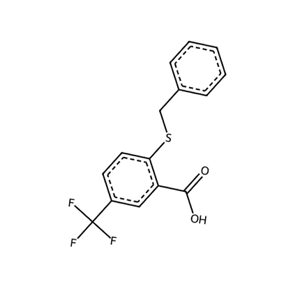 O=C(O)c1cc(C(F)(F)F)ccc1SCc1ccccc1